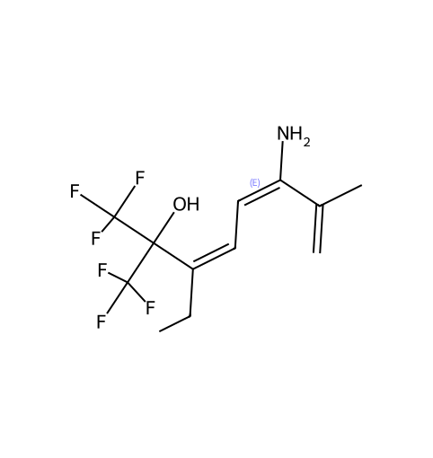 C=C(C)/C(N)=C\C=C(CC)C(O)(C(F)(F)F)C(F)(F)F